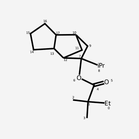 CCC(C)(C)C(=O)OC1(C(C)C)CC2CC1C1CCCC21